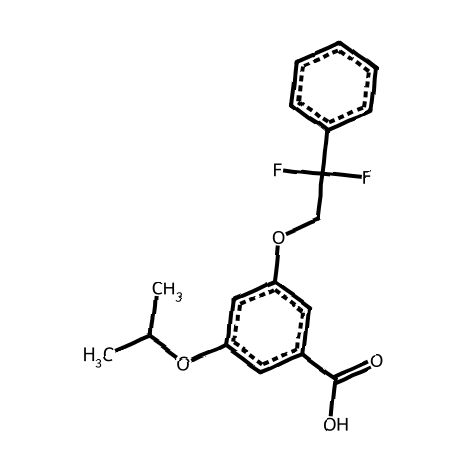 CC(C)Oc1cc(OCC(F)(F)c2ccccc2)cc(C(=O)O)c1